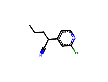 CCCC(C#N)c1ccnc(Br)c1